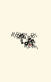 CCn1c(-c2cccnc2[C@H](C)OC)c(CC(C)(C)COC(C)=O)c2cc([C@@H]3C[C@H]3OC[C@H](NC(=O)OC(C)(C)C)C(=O)OC)ccc21